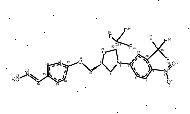 O=[N+]([O-])c1ccc(N2C[C@@H](COc3ccc(/C=N/O)cc3)O[C@@H]2C(F)(F)F)cc1C(F)(F)F